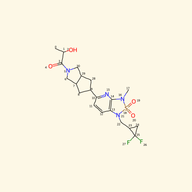 CC(O)C(=O)N1CC2CC(c3ccc4c(n3)N(C)S(=O)(=O)N4CC3CC3(F)F)CC2C1